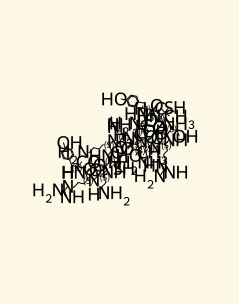 C[C@@H](O)[C@H](N)C(=O)N[C@@H](Cc1ccc(O)cc1)C(=O)N[C@H](C(=O)N[C@@H](CO)C(=O)N[C@@H](CCCNC(=N)N)C(=O)N[C@@H](CCN)C(=O)N[C@H](C(=O)N[C@H](CCN)C(=O)N[C@@H](CCCCN)C(=O)N[C@@H](CS)C(=O)N[C@@H](CCN)C(=O)N[C@@H](CCCNC(=N)N)C(=O)N[C@@H](Cc1ccc(O)cc1)C(=O)O)[C@@H](C)O)C(C)(C)S